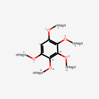 CCCCCCCOc1[c]c(OCCCCCCC)c(OCCCCCCC)c(OCCCCCCC)c1OCCCCCCC